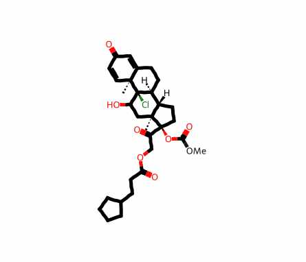 COC(=O)O[C@]1(C(=O)COC(=O)CCC2CCCC2)CC[C@H]2[C@@H]3CCC4=CC(=O)C=C[C@]4(C)[C@@]3(Cl)C(O)C[C@@]21C